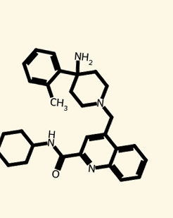 Cc1ccccc1C1(N)CCN(Cc2cc(C(=O)NC3CCCCC3)nc3ccccc23)CC1